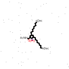 CCCCCCCCCCCCCCCCCCc1cc(CCCCCCCCCCCCCCCCCC)c(I(=O)=O)c(C(=O)NC(C)=O)c1